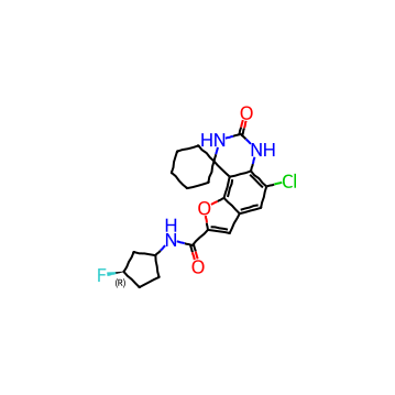 O=C1Nc2c(Cl)cc3cc(C(=O)NC4CC[C@@H](F)C4)oc3c2C2(CCCCC2)N1